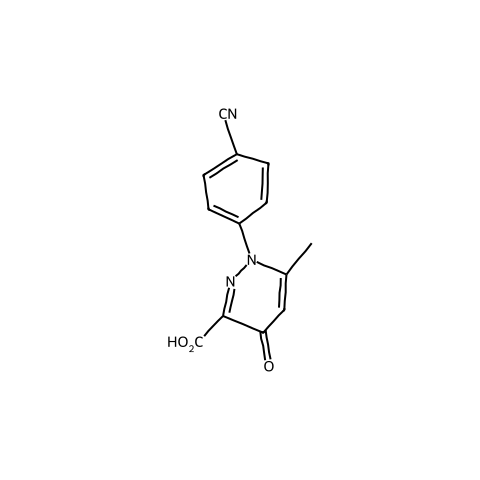 Cc1cc(=O)c(C(=O)O)nn1-c1ccc(C#N)cc1